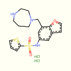 Cl.Cl.O=S(=O)(Nc1cc(CN2CCCNCC2)c2occc2c1)c1cccs1